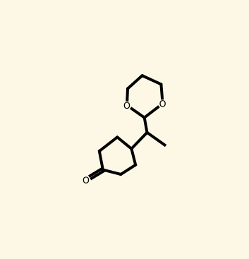 CC(C1CCC(=O)CC1)C1OCCCO1